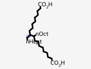 CCCCCCC/C=C(/CCCCCCCCC(=O)O)C(CCCCCCCC)CCCCCCCCC(=O)O